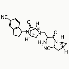 N#Cc1ccc2c(c1)CCC2N1C(=O)[C@@H]2C[C@H]1CN2CC(N)C(=O)N1C(C#N)C[C@@H]2C[C@@H]21